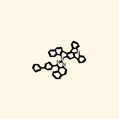 c1ccc(-c2ccc(-c3nc(-n4c5cc6c7ccccc7n7c8ccccc8c(c5c5ccc8ccccc8c54)c67)nc4ccc5ccccc5c34)cc2)cc1